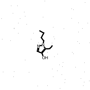 CCCCn1ncc(O)c1CC